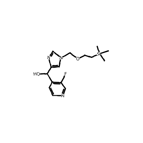 C[Si](C)(C)CCOCn1cnc(C(O)c2ccncc2F)c1